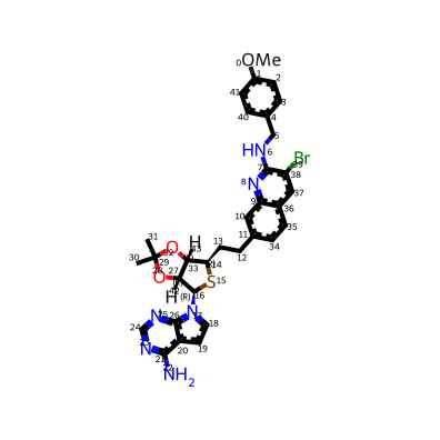 COc1ccc(CNc2nc3cc(CC[C@H]4S[C@@H](n5ccc6c(N)ncnc65)[C@@H]5OC(C)(C)O[C@@H]54)ccc3cc2Br)cc1